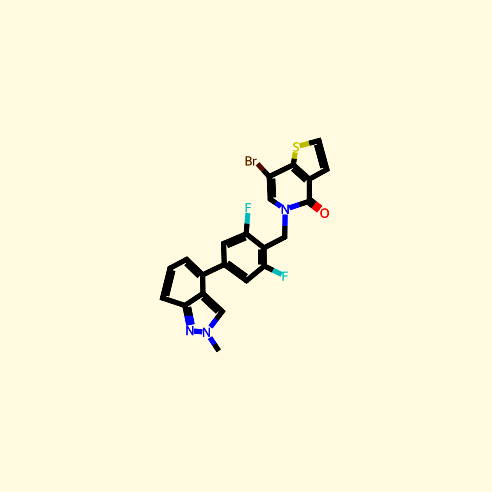 Cn1cc2c(-c3cc(F)c(Cn4cc(Br)c5sccc5c4=O)c(F)c3)cccc2n1